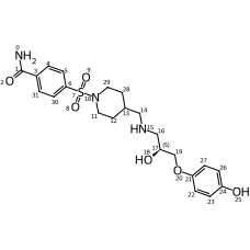 NC(=O)c1ccc(S(=O)(=O)N2CCC(CNC[C@H](O)COc3ccc(O)cc3)CC2)cc1